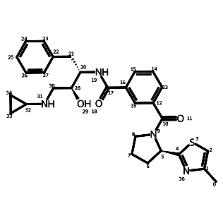 Cc1csc([C@H]2CCCN2C(=O)c2cccc(C(=O)N[C@@H](Cc3ccccc3)[C@@H](O)CNC3CC3)c2)n1